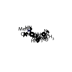 CN/C=C(\C=N)c1cc(Nc2nc(Nc3ccc4nccnc4c3P(C)(C)=O)c3cc[nH]c3n2)c(OC)cc1N1CC2(COC2)C1